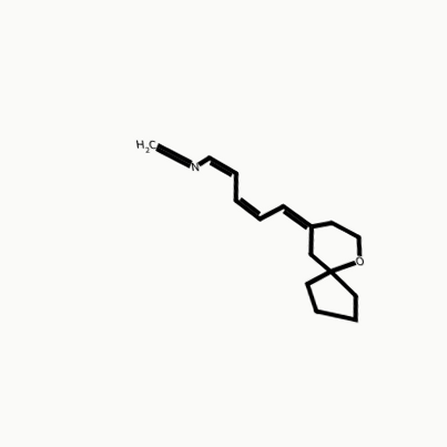 C=N\C=C/C=C\C=C1\CCOC2(CCCC2)C1